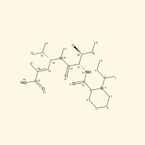 CCC(C)N1CCCCC1C(=O)N[C@H](C(=O)N(C)[C@H](/C=C(\C)C(=O)O)C(C)C)[C@@H](C)CC